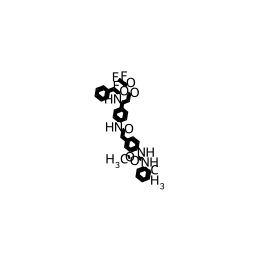 COc1cc(CC(=O)Nc2ccc(C(CC(=O)OC(=O)C(F)(F)F)NCCc3ccccc3)cc2)ccc1NC(=O)Nc1ccccc1C